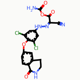 N#CC(=NNc1cc(Cl)c(Oc2ccc3c(c2)CCNC3=O)c(Cl)c1)C(=O)OC(N)=O